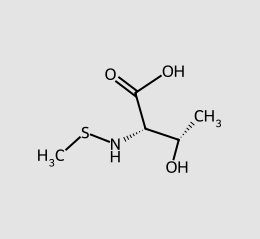 CSN[C@H](C(=O)O)[C@H](C)O